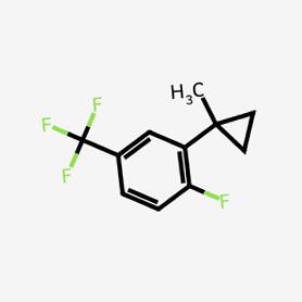 CC1(c2cc(C(F)(F)F)ccc2F)CC1